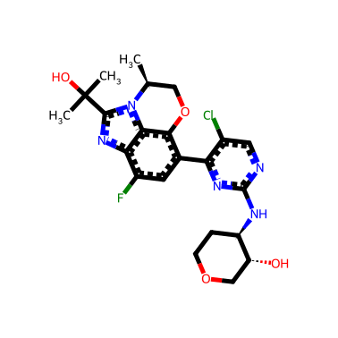 C[C@H]1COc2c(-c3nc(N[C@@H]4CCOC[C@H]4O)ncc3Cl)cc(F)c3nc(C(C)(C)O)n1c23